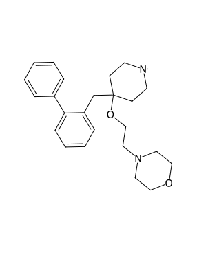 c1ccc(-c2ccccc2CC2(OCCN3CCOCC3)CC[N]CC2)cc1